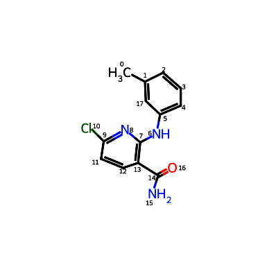 Cc1cccc(Nc2nc(Cl)ccc2C(N)=O)c1